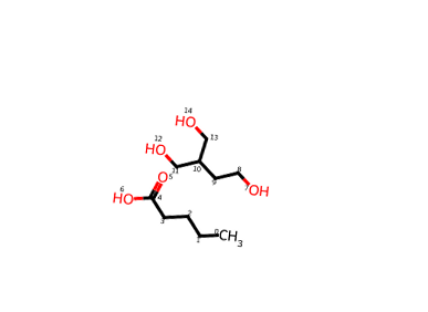 CCCCC(=O)O.OCCC(CO)CO